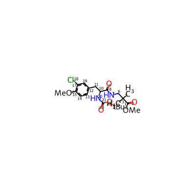 COC(=O)C(C)(C)CNC(=O)C(Cc1ccc(OC)c(Cl)c1)NC(=O)OC(C)(C)C